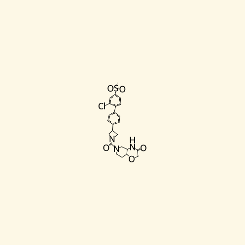 CS(=O)(=O)c1ccc(-c2ccc(C3CN(C(=O)N4CCC5OCC(=O)NC5C4)C3)cc2)c(Cl)c1